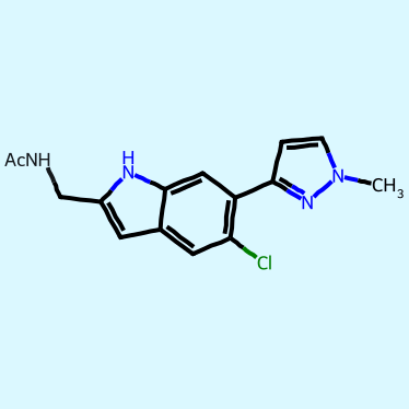 CC(=O)NCc1cc2cc(Cl)c(-c3ccn(C)n3)cc2[nH]1